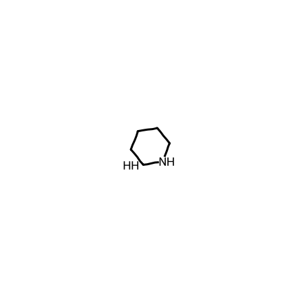 C1CCNCC1.[HH]